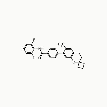 Cc1cc2c(cc1-c1ccc(C(=O)Nc3c(F)cncc3F)cc1)OC1(CCC1)CC2